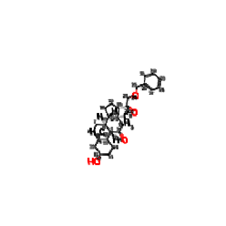 C[C@]12CC(=O)[C@H]3[C@@H](CCC4CC(O)CC[C@@]43C)[C@@H]1CC[C@@H]2C(=O)COCc1ccccc1